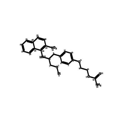 CCOCC(Cc1ccc(OCCOC(N)=O)cc1)Nc1c([N+](=O)[O-])cnc2ccccc12